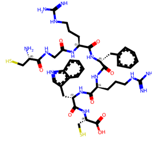 N=C(N)NCCC[C@H](NC(=O)CNC(=O)[C@@H](N)CS)C(=O)N[C@H](Cc1ccccc1)C(=O)N[C@@H](CCCNC(=N)N)C(=O)N[C@@H](Cc1c[nH]c2ccccc12)C(=O)N[C@@H](CS)C(=O)O